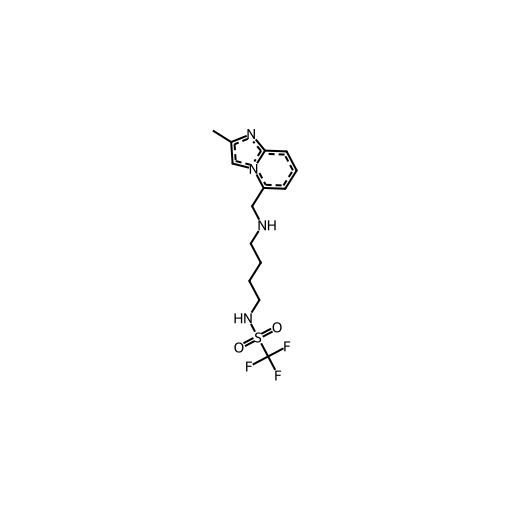 Cc1cn2c(CNCCCCNS(=O)(=O)C(F)(F)F)cccc2n1